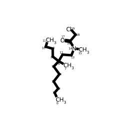 CCCCCCC(C)(CCCC)CCN(C)C(=O)CCl